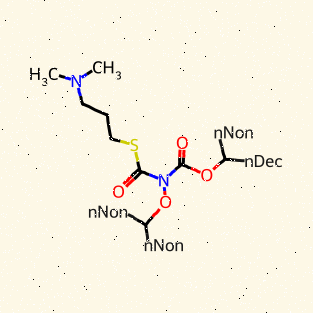 CCCCCCCCCCC(CCCCCCCCC)OC(=O)N(OC(CCCCCCCCC)CCCCCCCCC)C(=O)SCCCN(C)C